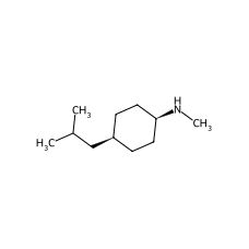 CN[C@H]1CC[C@@H](CC(C)C)CC1